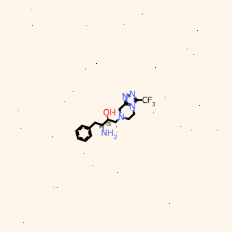 N[C@H](Cc1ccccc1)[C@@H](O)CN1CCn2c(nnc2C(F)(F)F)C1